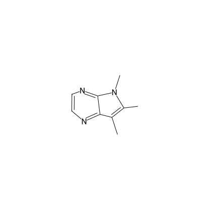 Cc1c(C)n(C)c2nccnc12